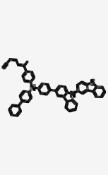 C#C/C=C\C=C(/C)c1ccc(N(c2ccc(-c3ccccc3)cc2)c2ccc(-c3ccc4c(c3)c3ccccc3n4-c3ccc4sc5ccccc5c4c3)cc2)cc1